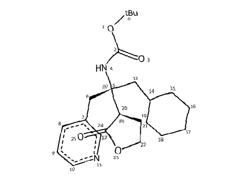 CC(C)(C)OC(=O)N[C@](Cc1cccnc1)(CC1CCCCC1)[C@H]1CCOC1=O